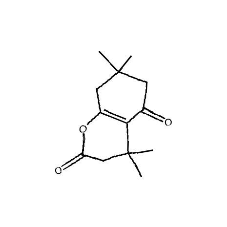 CC1(C)CC(=O)C2=C(C1)OC(=O)CC2(C)C